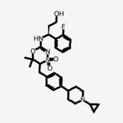 CC1(C)OC(N[C@@H](CCO)c2ccccc2F)=NS(=O)(=O)C1Cc1ccc(C2CCN(C3CC3)CC2)cc1